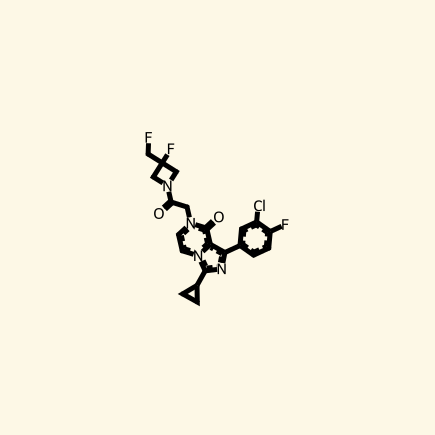 O=C(Cn1ccn2c(C3CC3)nc(-c3ccc(F)c(Cl)c3)c2c1=O)N1CC(F)(CF)C1